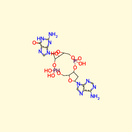 Nc1nc2c(ncn2C2OC3COP(=O)(O)OC4CC(n5cnc6c(N)ncnc65)OC4CO[PH](O)(O)OC2C3O)c(=O)[nH]1